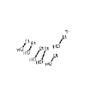 CCO.CCO.CCO.CCO.CCO.CCO.[Y]